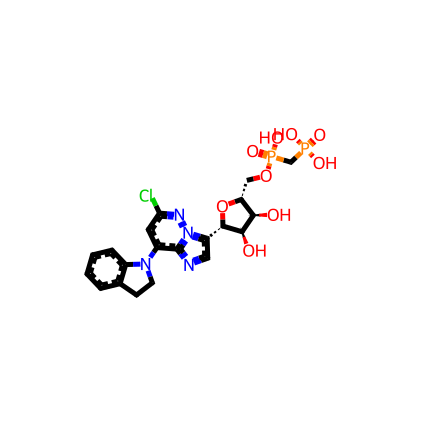 O=P(O)(O)CP(=O)(O)OC[C@H]1O[C@@H](c2cnc3c(N4CCc5ccccc54)cc(Cl)nn23)[C@H](O)[C@@H]1O